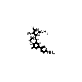 Cc1cc(-c2ccc(N)nc2)cc2c1OCCN(c1nc(N)nc(C)c1C(C)C)C2